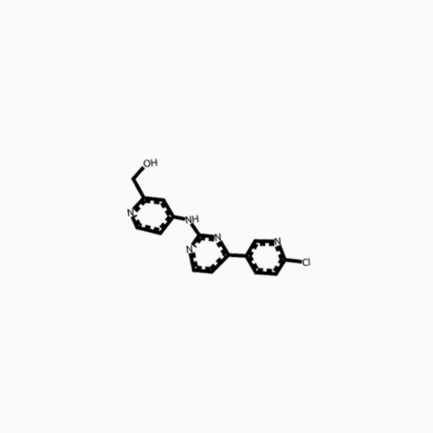 OCc1cc(Nc2nccc(-c3ccc(Cl)nc3)n2)ccn1